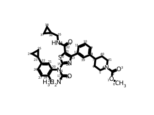 COC(=O)N1CCC(c2cccc(-c3nc(N(C(N)=O)c4cc(C5CC5)ccc4C)sc3C(=O)NCC3CC3)c2)CC1